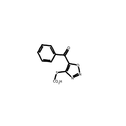 O=C(O)Sc1nnoc1C(=O)c1ccccc1